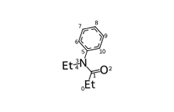 [CH2]CC(=O)N(CC)c1ccccc1